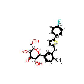 Cc1ccc([C@@H]2O[C@H](CO)[C@@H](O)C(=O)[C@H]2O)cc1Cc1ccc(-c2ccc(F)cc2)s1